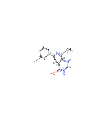 Cc1nc(-c2cccc(I)c2)cc2c(=O)[nH]cnc12